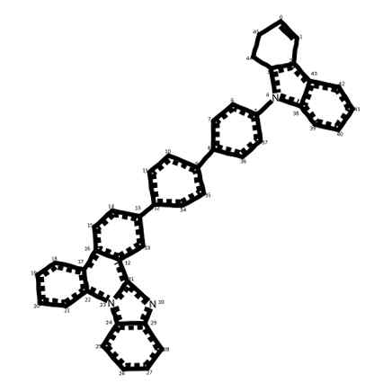 C1=Cc2c(n(-c3ccc(-c4ccc(-c5ccc6c7ccccc7n7c8ccccc8nc7c6c5)cc4)cc3)c3ccccc23)CC1